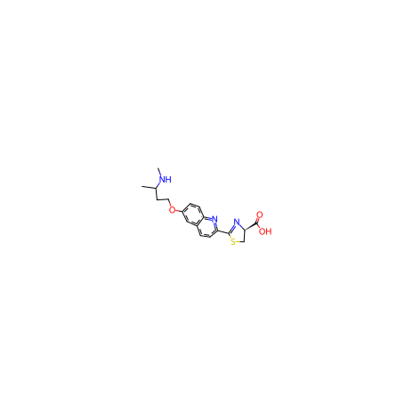 CNC(C)CCOc1ccc2nc(C3=N[C@@H](C(=O)O)CS3)ccc2c1